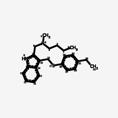 CCCCN(C)Cc1[nH]c2ccccc2c1CSc1ccc(CC)cc1